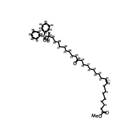 COC(=O)CCCCCCC/C=C\CCCCCCCCC(=O)CCCCCCCCCC(C)(C)[Si](O)(c1ccccc1)c1ccccc1